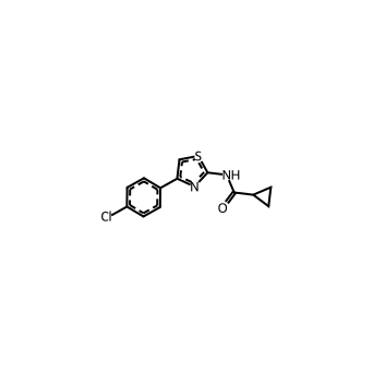 O=C(Nc1nc(-c2ccc(Cl)cc2)cs1)C1CC1